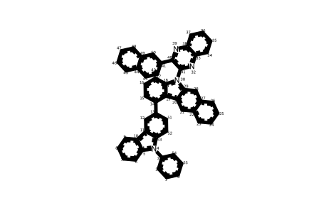 c1ccc(-n2c3ccccc3c3cc(-c4cccc5c4c4cc6ccccc6cc4n5-c4nc5ccccc5nc4-c4ccc5ccccc5c4)ccc32)cc1